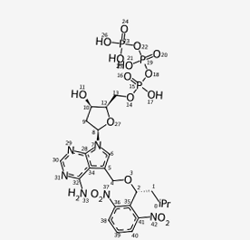 CC(C)C[C@@H](OCc1cn([C@H]2C[C@@H](O)[C@@H](COP(=O)(O)OP(=O)(O)OP(=O)(O)O)O2)c2ncnc(N)c12)c1c([N+](=O)[O-])cccc1[N+](=O)[O-]